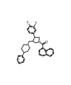 O=C(c1cccc2ccccc12)N1CC(CN2CCC(c3ccccc3)CC2)C(c2ccc(F)c(F)c2)C1